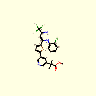 COC(=O)C(C)(C)c1cncc(-c2ccc(/C(=C/C(=N)C(F)(F)F)Nc3ccccc3Cl)s2)c1